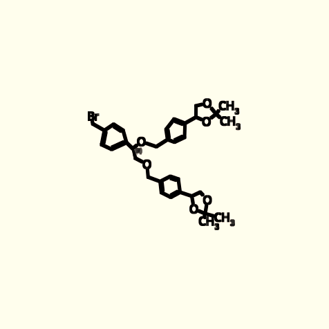 CC1(C)OCC(c2ccc(COC[C@H](OCc3ccc(C4COC(C)(C)O4)cc3)c3ccc(CBr)cc3)cc2)O1